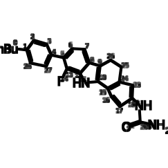 CCCCc1ccc(-c2ccc3c4c([nH]c3c2F)-c2ccc(NC(N)=O)cc2CC4)cc1